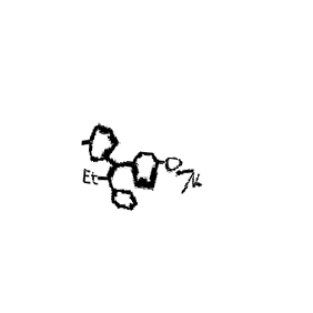 CC/C(=C(/c1ccc(OCCN(C)C)cc1)c1cccc(C)c1)c1ccccc1